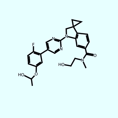 CC(O)Oc1ccc(F)c(-c2cnc(N3CC4(CC4)c4ccc(C(=O)N(C)CCO)cc43)nc2)c1